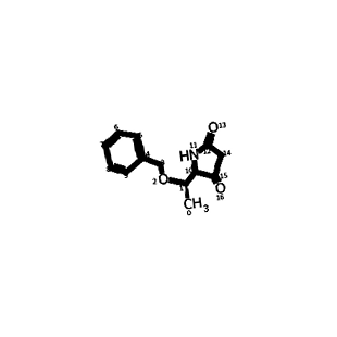 C[C@@H](OCc1ccccc1)C1NC(=O)CC1=O